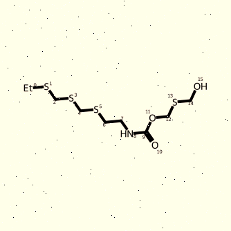 CCSCSCSCCNC(=O)OCSCO